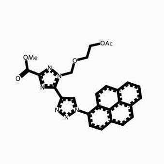 COC(=O)c1nc(-c2cn(-c3ccc4ccc5cccc6ccc3c4c56)nn2)n(COCCOC(C)=O)n1